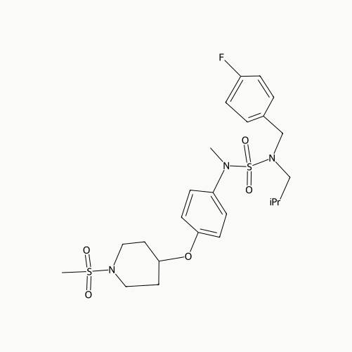 CC(C)CN(Cc1ccc(F)cc1)S(=O)(=O)N(C)c1ccc(OC2CCN(S(C)(=O)=O)CC2)cc1